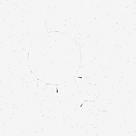 CO[C@]1(C)C[C@@H](C)CN(C)CCN(CC(=O)O)CCCOC(=O)C(C)(C)C(=O)[C@H](C)[C@H]1O[C@@H]1O[C@H](C)C[C@H](N(C)C)[C@H]1O